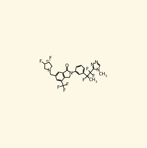 Cn1cnnc1C(F)(F)[C@](C)(F)c1cccc(N2Cc3c(cc(CN4CC(F)[C@H](F)C4)cc3C(F)(F)F)C2=O)c1